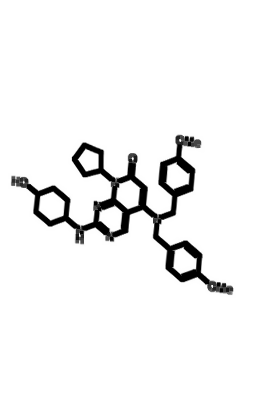 COc1ccc(CN(Cc2ccc(OC)cc2)c2cc(=O)n(C3CCCC3)c3nc(NC4CCC(O)CC4)ncc23)cc1